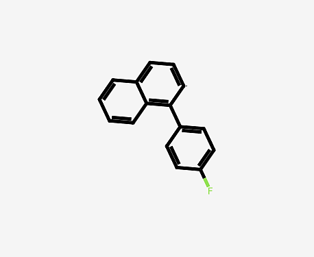 Fc1ccc(-c2[c]ccc3ccccc23)cc1